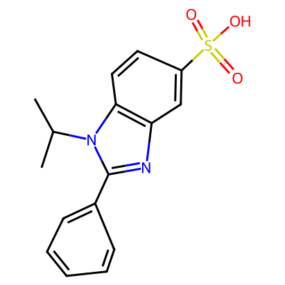 CC(C)n1c(-c2ccccc2)nc2cc(S(=O)(=O)O)ccc21